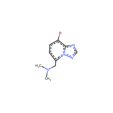 CN(C)Cc1ccc(Br)c2ncnn12